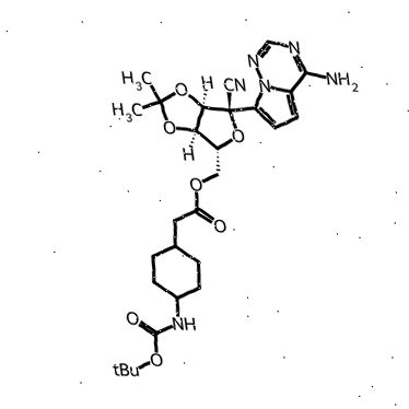 CC(C)(C)OC(=O)NC1CCC(CC(=O)OC[C@H]2O[C@@](C#N)(c3ccc4c(N)ncnn34)[C@@H]3OC(C)(C)O[C@@H]32)CC1